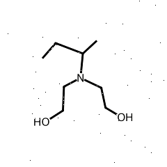 CCC(C)N(CCO)CCO